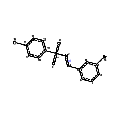 O=S(=O)(/N=C/c1cccc(Br)c1)c1ccc(Cl)cc1